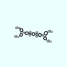 CC(C)(C)c1ccc2c(c1)c1cc(C(C)(C)C)ccc1n2-c1ccc(S(=O)(=O)c2ccc(S(=O)(=O)c3ccc(-n4c5ccc(C(C)(C)C)cc5c5cc(C(C)(C)C)ccc54)cc3)cc2)cc1